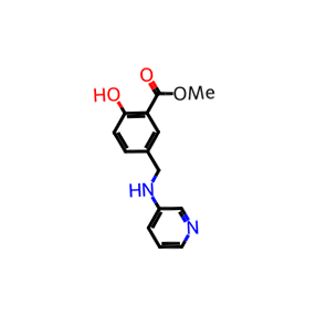 COC(=O)c1cc(CNc2cccnc2)ccc1O